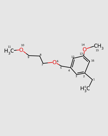 CCc1cc(COCCCOC)cc(OC)c1